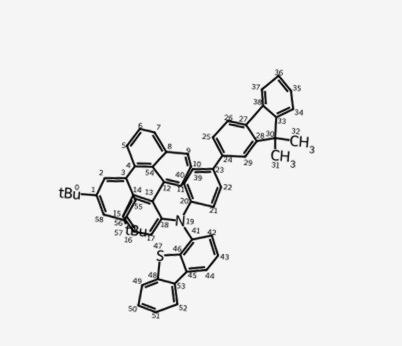 CC(C)(C)c1cc(-c2cccc3cccc(-c4ccccc4N(c4ccc(-c5ccc6c(c5)C(C)(C)c5ccccc5-6)cc4)c4cccc5c4sc4ccccc45)c23)cc(C(C)(C)C)c1